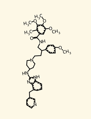 COc1ccc(C(CCN2CCC(Nc3nc4c(Cc5cccnc5)cccc4[nH]3)CC2)CNC(=O)c2cc(OC)c(OC)c(OC)c2C)cc1